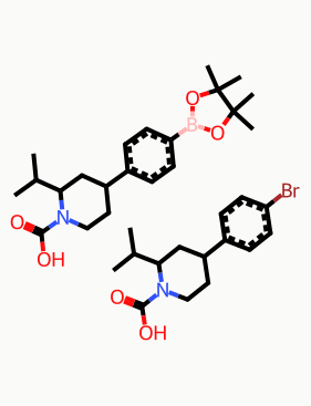 CC(C)C1CC(c2ccc(B3OC(C)(C)C(C)(C)O3)cc2)CCN1C(=O)O.CC(C)C1CC(c2ccc(Br)cc2)CCN1C(=O)O